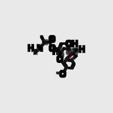 COc1ccc2c3c1O[C@@H]1C[C@@](O)(CC=C1OC(=O)[C@H](C)N)[C@H](CCCC3)C2